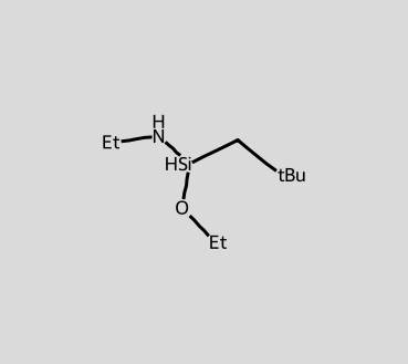 CCN[SiH](CC(C)(C)C)OCC